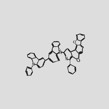 c1ccc(-c2nc(-n3c4ccccc4c4cc(-c5ccc6c(c5)c5ccccc5n6-c5ccccc5)ccc43)cc3c2oc2ccc4c5ccccc5oc4c23)cc1